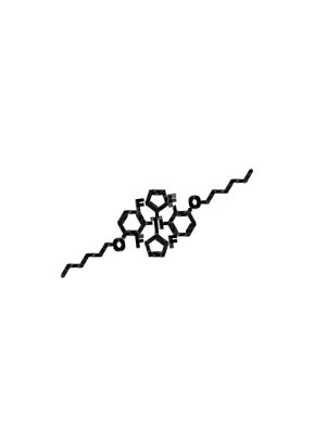 CCCCCCOc1ccc(F)[c]([Ti]([C]2=CC=CC2)([C]2=CC=CC2)[c]2c(F)ccc(OCCCCCC)c2F)c1F